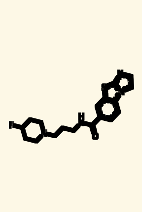 O=C(NCCCN1CCC(F)CC1)c1ccc2c(c1)sc1nccn12